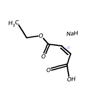 CCOC(=O)/C=C\C(=O)O.[NaH]